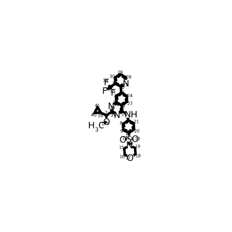 COC(c1nc(Nc2ccc(S(=O)(=O)N3CCOCC3)cc2)c2ccc(-c3ncccc3C(F)(F)F)cc2n1)C1CC1